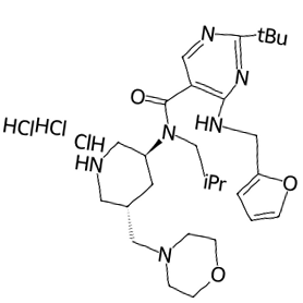 CC(C)CN(C(=O)c1cnc(C(C)(C)C)nc1NCc1ccco1)[C@@H]1CNC[C@@H](CN2CCOCC2)C1.Cl.Cl.Cl